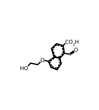 O=Ic1c(C(=O)O)ccc2c(OCCO)cccc12